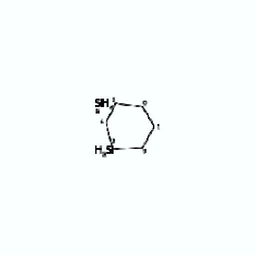 C1CC[SiH2]CC1.[SiH4]